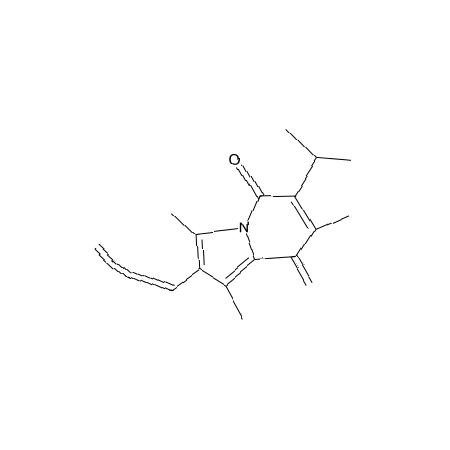 C=C=Cc1c(C)c2c(=C)c(C)c(C(C)C)c(=O)n2c1C